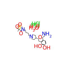 CC1(C)C(=O)N(CCCCN2CCC([C@@H]3Cc4c(ccc(O)c4O)[C@H](CN)O3)CC2)CS1(=O)=O.Cl.Cl.O.O